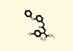 CC(C)C(/C=C(\F)Cc1cccc(Oc2ccccc2)c1)c1ccc(Cl)cc1